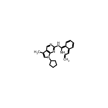 C=C/C=c1/cccc/c1=C(/N)Nc1ncc2c(C)cn(C3CCCC3)c2n1